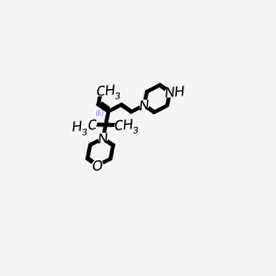 C/C=C(\CCN1CCNCC1)C(C)(C)N1CCOCC1